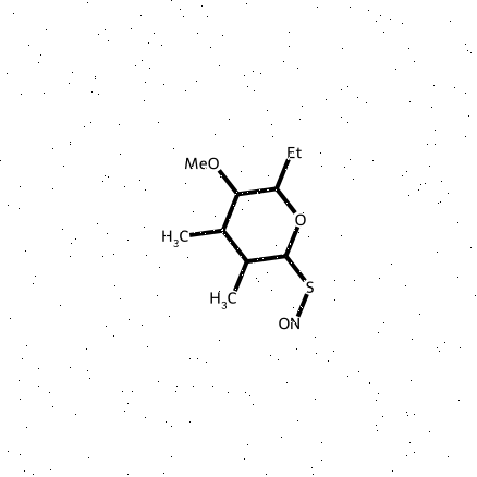 CCC1OC(SN=O)C(C)C(C)C1OC